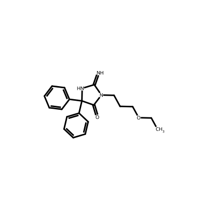 CCOCCCN1C(=N)NC(c2ccccc2)(c2ccccc2)C1=O